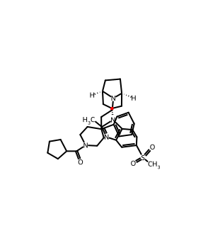 Cc1nc2cc(S(C)(=O)=O)ccc2n1[C@@H]1C[C@H]2CC[C@@H](C1)N2CCC1(c2ccccc2)CCN(C(=O)C2CCCC2)CC1